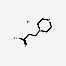 Cl.O=C(O)CCN1CCOCC1